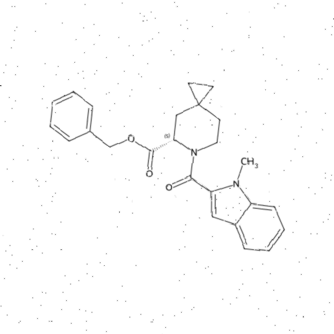 Cn1c(C(=O)N2CCC3(CC3)C[C@H]2C(=O)OCc2ccccc2)cc2ccccc21